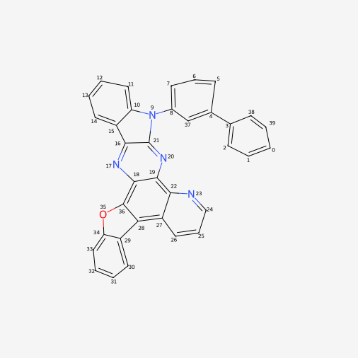 c1ccc(-c2cccc(-n3c4ccccc4c4nc5c(nc43)c3ncccc3c3c4ccccc4oc53)c2)cc1